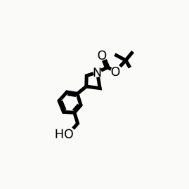 CC(C)(C)OC(=O)N1CC(c2cccc(CO)c2)C1